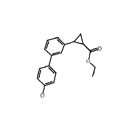 CCOC(=O)C1CC1c1cccc(-c2ccc(Cl)cc2)c1